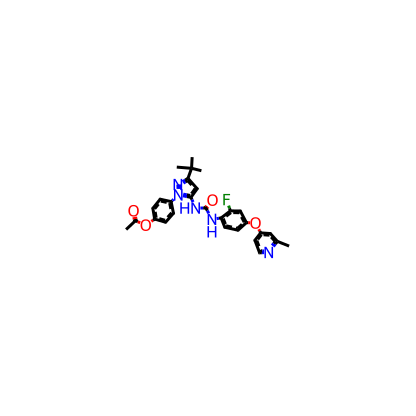 CC(=O)Oc1ccc(-n2nc(C(C)(C)C)cc2NC(=O)Nc2ccc(Oc3ccnc(C)c3)cc2F)cc1